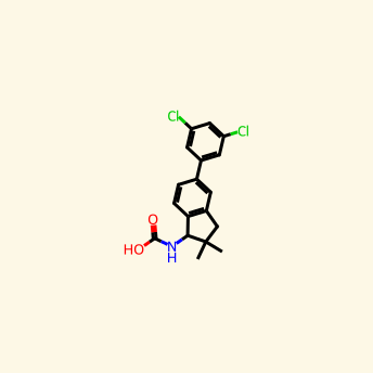 CC1(C)Cc2cc(-c3cc(Cl)cc(Cl)c3)ccc2C1NC(=O)O